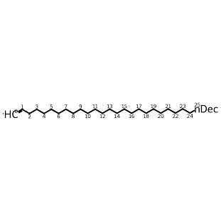 [CH]=CCCCCCCCCCCCCCCCCCCCCCCCCCCCCCCCCC